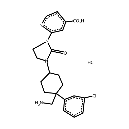 Cl.NCC1(c2cccc(Cl)c2)CCC(N2CCN(c3cc(C(=O)O)ccn3)C2=O)CC1